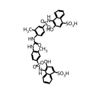 Cc1cc(S(=O)(=O)Nc2c(O)cc(S(=O)(=O)O)c3ccccc23)ccc1NC(=O)Nc1ccc(S(=O)(=O)Nc2c(O)cc(S(=O)(=O)O)c3ccccc23)cc1C